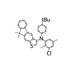 Cc1cc(Cl)c(C)c(N(c2ccc(C(C)(C)C)cc2)c2csc3cc4c(cc23)-c2ccccc2C4(C)C)c1